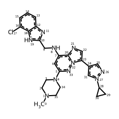 CN1CCN(c2cc(NCc3nc4cccc(Cl)c4[nH]3)c3ncc(-c4cnn(C5CC5)c4)n3n2)CC1